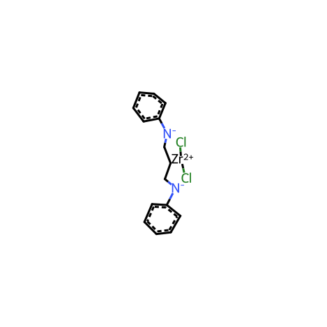 [Cl][Zr+2][Cl].c1ccc([N-]CCC[N-]c2ccccc2)cc1